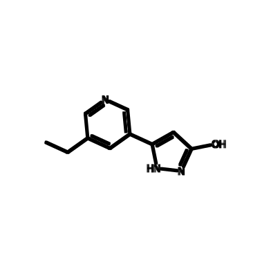 CCc1cncc(-c2cc(O)n[nH]2)c1